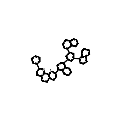 c1ccc(-c2ccc3ccc4ccc(-c5ccc(-c6cc(-c7cccc8ccccc78)cc(-c7cccc8ccccc78)c6)c6ccccc56)nc4c3n2)cc1